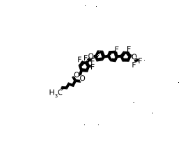 CCCCCC1COC(c2cc(F)c(C(F)(F)Oc3ccc(-c4ccc(-c5ccc(OC(F)F)c(F)c5)c(F)c4)cc3)c(F)c2)OC1